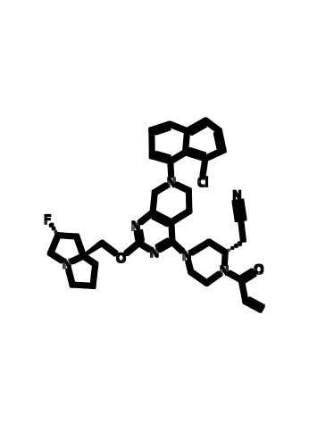 C=CC(=O)N1CCN(c2nc(OC[C@@]34CCCN3C[C@H](F)C4)nc3c2CCN(c2cccc4cccc(Cl)c24)C3)C[C@@H]1CC#N